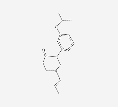 CC=CN1CCC(=O)C(c2cccc(OC(C)C)c2)C1